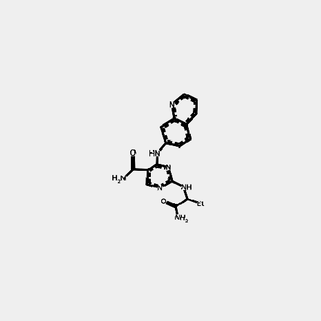 CCC(Nc1ncc(C(N)=O)c(Nc2ccc3cccnc3c2)n1)C(N)=O